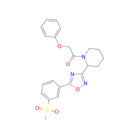 CS(=O)(=O)c1cccc(-c2nc(C3CCCCN3C(=O)COc3ccccc3)no2)c1